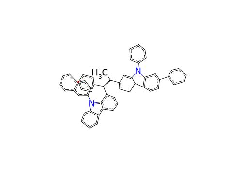 CC(C1=CCC2C(=C1)N(c1ccccc1)c1cc(-c3ccccc3)ccc12)[C@H](c1ccccc1)c1cccc2c3ccccc3n(-c3ccc4ccccc4c3)c12